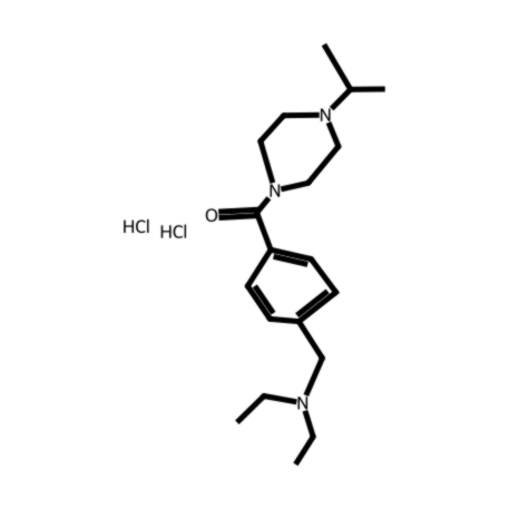 CCN(CC)Cc1ccc(C(=O)N2CCN(C(C)C)CC2)cc1.Cl.Cl